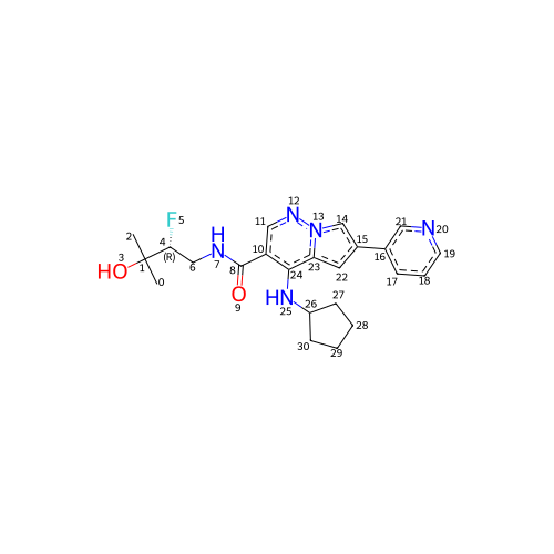 CC(C)(O)[C@H](F)CNC(=O)c1cnn2cc(-c3cccnc3)cc2c1NC1CCCC1